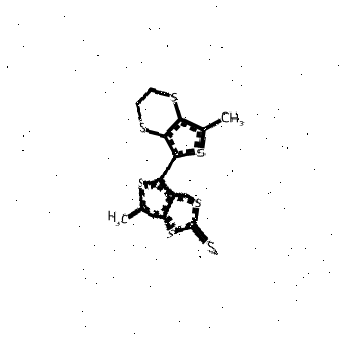 Cc1sc(-c2sc(C)c3sc(=S)sc23)c2c1SCCS2